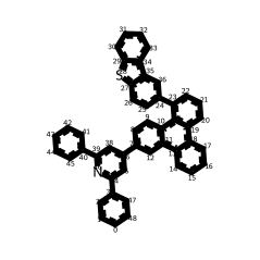 c1ccc(-c2cc(-c3ccc4c(c3)c3ccccc3c3cccc(-c5ccc6sc7ccccc7c6c5)c34)cc(-c3ccccc3)n2)cc1